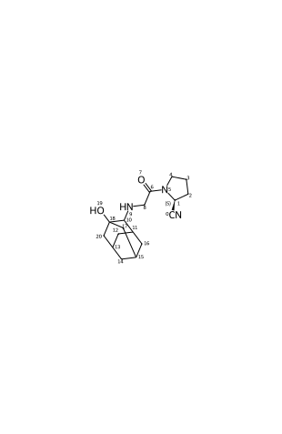 N#C[C@@H]1CCCN1C(=O)CNC1C2CC3CC(C2)CC1(O)C3